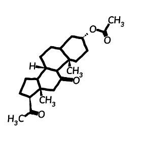 CC(=O)O[C@@H]1CC[C@@]2(C)C(CC[C@@H]3C2C(=O)C[C@@]2(C)C3CC[C@@H]2C(C)=O)C1